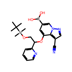 CC(C)(C)[Si](C)(C)OCC(Oc1cc(B(O)O)cn2ncc(C#N)c12)c1ccccn1